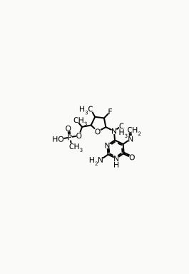 C=Nc1c(N(C)C2OC(C(C)OP(C)(=O)O)C(C)C2F)nc(N)[nH]c1=O